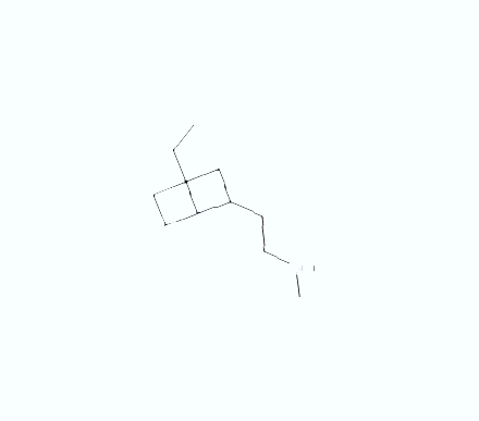 CCC12CCC1C(CC[SiH2]C)C2